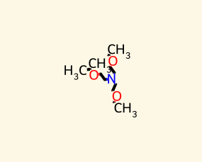 CCOCCN(CCOCC)CCOC(C)C